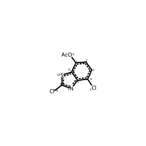 CC(=O)Oc1ccc(Cl)c2nc(Cl)sc12